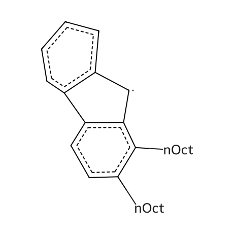 CCCCCCCCc1ccc2c(c1CCCCCCCC)[CH]c1ccccc1-2